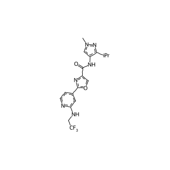 CC(C)c1nn(C)cc1NC(=O)c1coc(-c2ccnc(NCC(F)(F)F)c2)n1